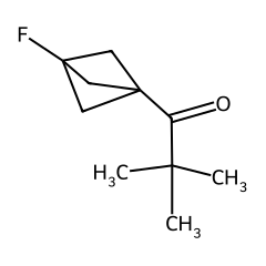 CC(C)(C)C(=O)C12CC(F)(C1)C2